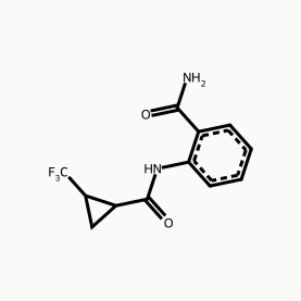 NC(=O)c1ccccc1NC(=O)C1CC1C(F)(F)F